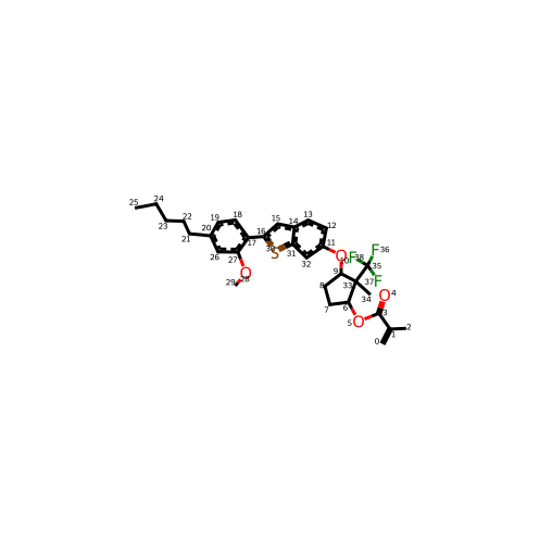 C=C(C)C(=O)OC1CCC(Oc2ccc3cc(-c4ccc(CCCCC)cc4OC)sc3c2)C1(C)C(F)(F)F